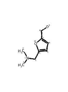 CN(C)Cc1ccc(C[O])o1